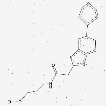 CCOCCCNC(=O)Cc1nc2ccc(-c3ccccc3)cc2s1